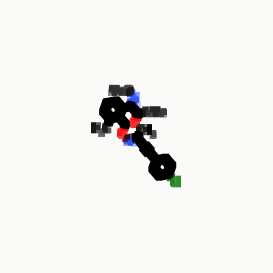 CNC(=O)/C(=N/OC)c1cccc(C)c1CO/N=C(\C)C#Cc1ccc(Cl)cc1